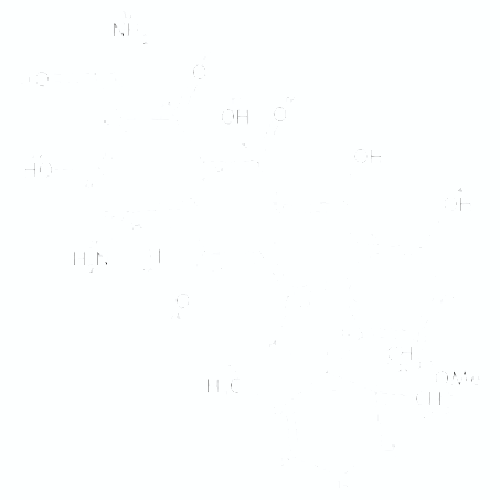 COc1cc(O)c2c(O)c3c(c4c2c1[C@]1(C4)C(C)=CCCC1(C)C)C(=O)[C@H]1[C@H](N)C(O)=C(C(N)=O)C(=O)[C@@]1(O)C3=O